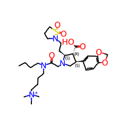 CCCCN(CCCC[N+](C)(C)C)C(=O)CN1C[C@H](c2ccc3c(c2)OCO3)[C@@H](C(=O)O)[C@@H]1CCN1CCCS1(=O)=O